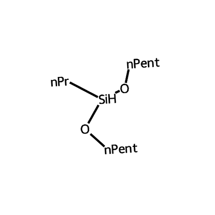 CCCCCO[SiH](CCC)OCCCCC